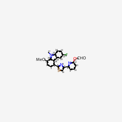 COc1ccc(-c2nc(-c3cccc(OC=O)n3)cs2)c2c3cc(F)ccc3n(C)c12